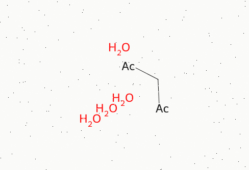 CC(=O)CC(C)=O.O.O.O.O